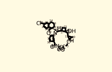 O=C1NS(=O)(=O)CCC[C@H]2CC2[C@H](O)[C@@H]2CC[C@H]2CN2C[C@@]3(CCCc4cc(Cl)ccc43)COc3ccc1cc32